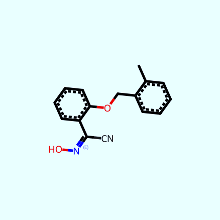 Cc1ccccc1COc1ccccc1/C(C#N)=N\O